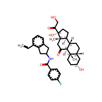 C=Cc1cccc2c1CC(NC(=O)c1ccc(F)cc1)C2.C[C@]12CC[C@@H](O)C[C@H]1CC[C@@H]1[C@@H]2C(=O)C[C@@]2(C)[C@H]1CC[C@]2(O)C(=O)CO